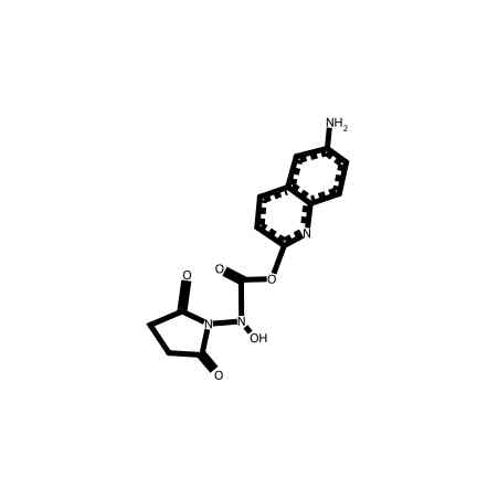 Nc1ccc2nc(OC(=O)N(O)N3C(=O)CCC3=O)ccc2c1